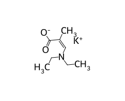 CCN(C=C(C)C(=O)[O-])CC.[K+]